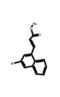 CC(C)(C)OC(=O)/C=C/c1cc(Br)cc2ccccc12